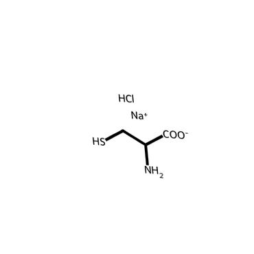 Cl.NC(CS)C(=O)[O-].[Na+]